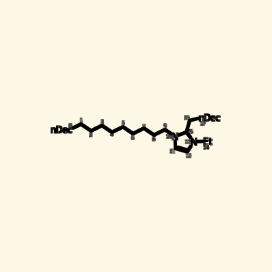 CCCCCCCCCCCCCCCCCCCN1C=CN(CC)C1CCCCCCCCCCC